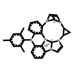 Cc1cc(C)c(B2c3cccc4c3P3c5c2cccc5N2C=CN(C5CC5N5C=CN4[C@H]53)[C@H]2C)c(C)c1